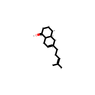 CC(C)=CCCC1=CCC2C(=O)CCCC2C1